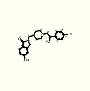 N#Cc1ccc2c(c1)CN(CC1CCN(CC(O)c3ccc(F)cc3)CC1)C2=O